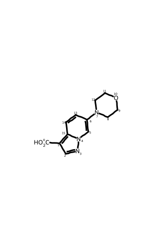 O=C(O)c1cnn2cc(N3CCOCC3)ccc12